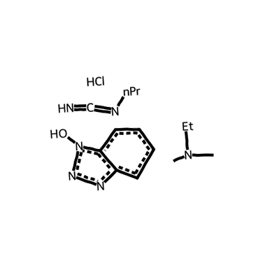 CCCN=C=N.CCN(C)C.Cl.On1nnc2ccccc21